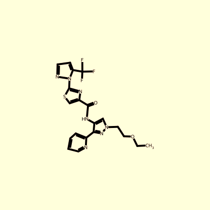 CCOCCn1cc(NC(=O)c2csc(-n3nccc3C(F)(F)F)n2)c(-c2ccccn2)n1